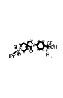 CC(C)CS(=O)(=O)N1CCC2(CCN(c3ccc(C(C)(O)C(F)(F)F)cc3)C2=O)CC1